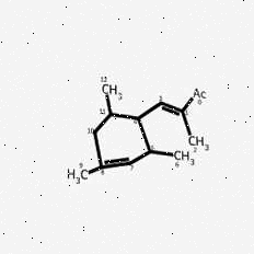 CC(=O)C(C)=CC1C(C)C=C(C)CC1C